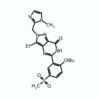 CCc1c2nc(-c3cc(S(C)(=O)=O)ccc3OCC(C)C)[nH]c(=O)c2nn1Cc1nccn1C